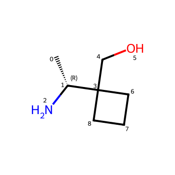 C[C@@H](N)C1(CO)CCC1